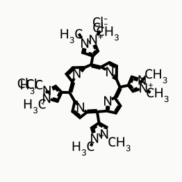 Cn1cc(C2=C3C=CC(=N3)C(c3cn(C)[n+](C)c3)=C3C=CC(=N3)C(c3cn(C)[n+](C)c3)=C3C=CC(=N3)C(c3cn(C)[n+](C)c3)=C3C=CC2=N3)c[n+]1C.[Cl-].[Cl-].[Cl-].[Cl-]